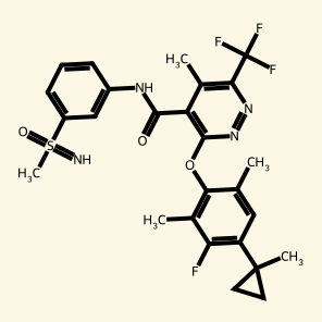 Cc1cc(C2(C)CC2)c(F)c(C)c1Oc1nnc(C(F)(F)F)c(C)c1C(=O)Nc1cccc(S(C)(=N)=O)c1